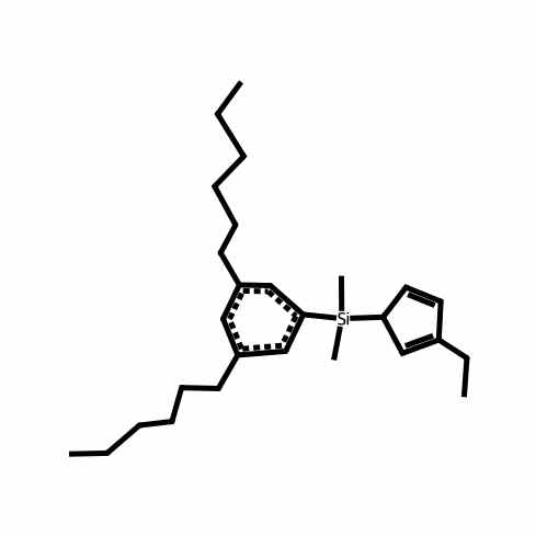 CCCCCCc1cc(CCCCCC)cc([Si](C)(C)[C]2C=CC(CC)=C2)c1